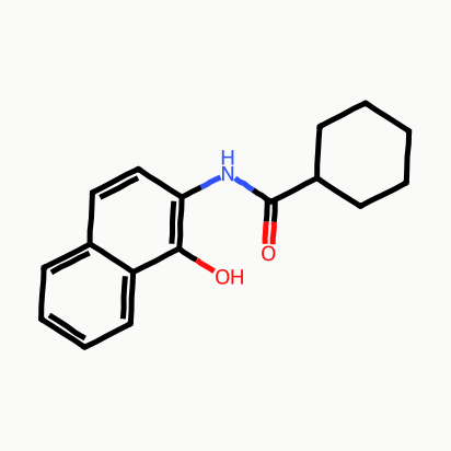 O=C(Nc1ccc2ccccc2c1O)C1CCCCC1